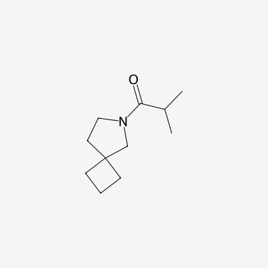 CC(C)C(=O)N1CCC2(CCC2)C1